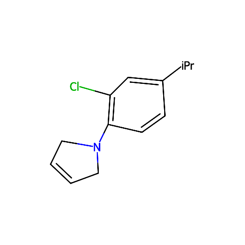 CC(C)c1ccc(N2CC=CC2)c(Cl)c1